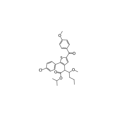 CCCC(OC)C(C(=O)OC(C)C)c1cc(C(=O)c2ccc(OC)cc2)sc1-c1ccc(Cl)cc1